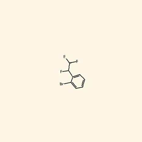 FC(F)C(F)c1ccccc1Br